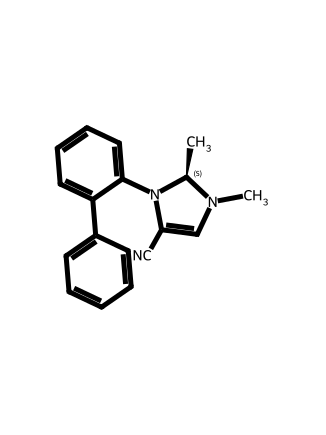 C[C@H]1N(C)C=C(C#N)N1c1ccccc1-c1ccccc1